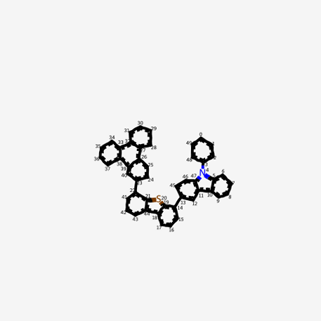 c1ccc(-n2c3ccccc3c3cc(-c4cccc5c4sc4c(-c6ccc7c8ccccc8c8ccccc8c7c6)cccc45)ccc32)cc1